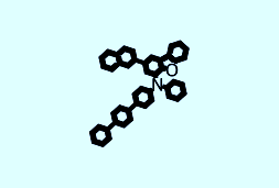 c1ccc(-c2ccc(-c3ccc(N(c4ccccc4)c4cc(-c5ccc6ccccc6c5)cc5c4oc4ccccc45)cc3)cc2)cc1